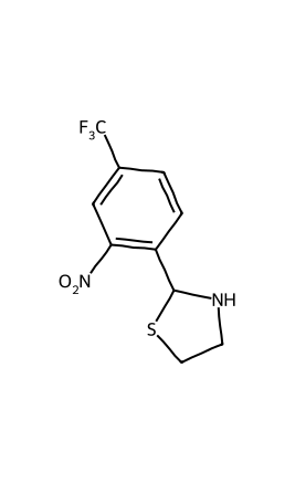 O=[N+]([O-])c1cc(C(F)(F)F)ccc1C1NCCS1